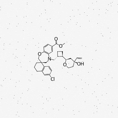 C=C[C@]1(O)CCO[C@@H]([C@@H]2CC[C@H]2CN2C[C@@]3(CCCc4cc(Cl)ccc43)COc3ccc(C(=O)OC)cc32)C1